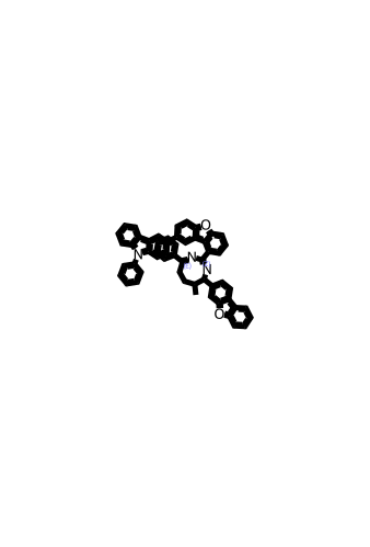 CC1CC/C(c2ccccc2)=N\C(c2cccc3oc4ccc(-c5ccc6c(c5)c5ccccc5n6-c5ccccc5)cc4c23)=N/C1c1ccc2c(c1)oc1ccccc12